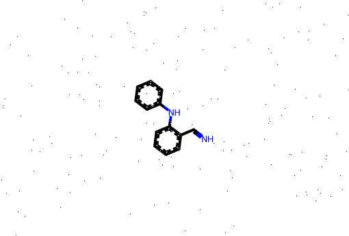 N=Cc1ccccc1Nc1ccccc1